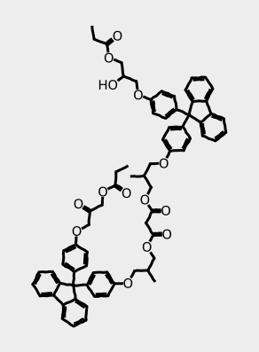 CCC(=O)OCC(=O)COc1ccc(C2(c3ccc(OCC(C)COC(=O)CC(=O)OCC(C)COc4ccc(C5(c6ccc(OCC(O)COC(=O)CC)cc6)c6ccccc6-c6ccccc65)cc4)cc3)c3ccccc3-c3ccccc32)cc1